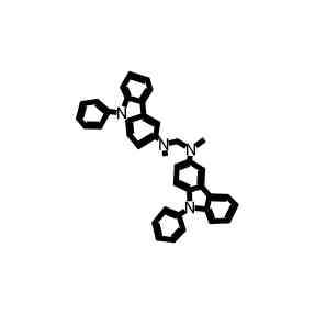 CN(CN(C)c1ccc2c(c1)c1ccccc1n2-c1ccccc1)c1ccc2c(c1)c1ccccc1n2-c1ccccc1